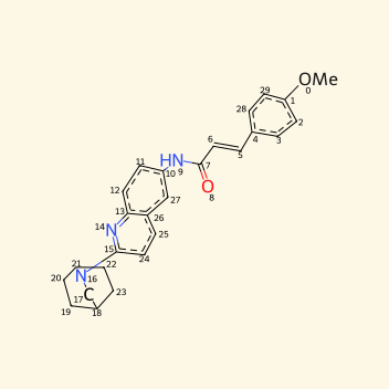 COc1ccc(/C=C/C(=O)Nc2ccc3nc(N4CC5CCC4CC5)ccc3c2)cc1